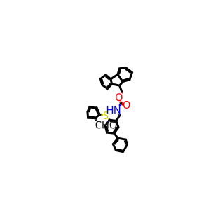 O=Cc1ccccc1Sc1ccc(-c2ccccc2)cc1CNC(=O)OCC1c2ccccc2-c2ccccc21